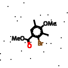 COC(=O)c1cc(C)c(OC)c(C)c1Br